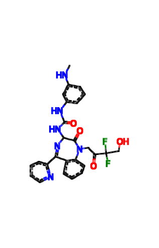 CNc1cccc(NC(=O)NC2N=C(c3ccccn3)c3ccccc3N(CC(=O)C(F)(F)CO)C2=O)c1